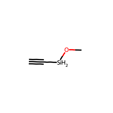 C#C[SiH2]OC